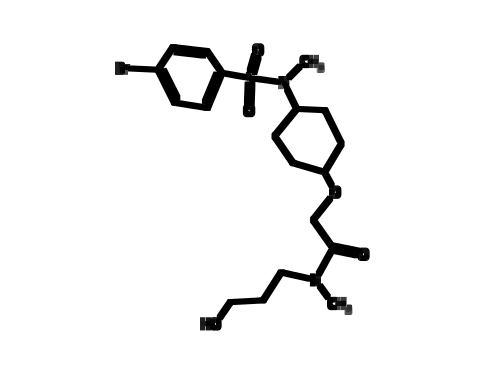 CN(CCCO)C(=O)COC1CCC(N(C)S(=O)(=O)c2ccc(Br)cc2)CC1